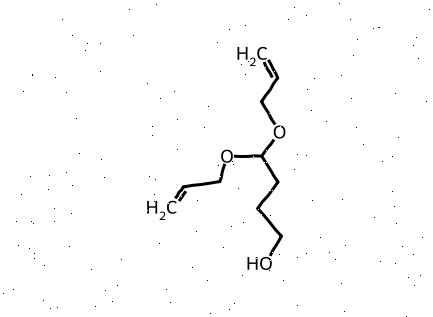 C=CCOC(CCCO)OCC=C